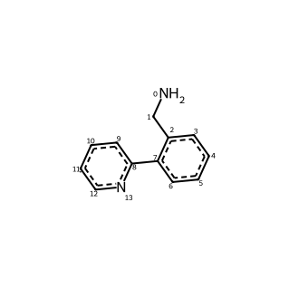 NCc1ccccc1-c1cc[c]cn1